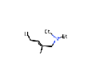 [Li][CH2]C=C(C)CN(CC)CC